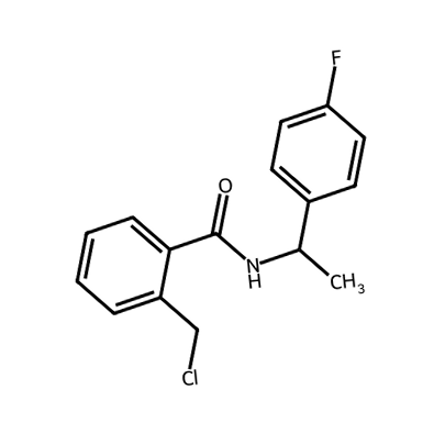 CC(NC(=O)c1ccccc1CCl)c1ccc(F)cc1